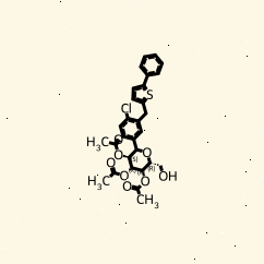 CC(=O)O[C@H]1[C@H](OC(C)=O)[C@@H](OC(C)=O)C(c2ccc(Cl)c(Cc3ccc(-c4ccccc4)s3)c2)O[C@@H]1CO